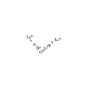 [Al].[Al].[Lu+3].[Lu+3].[O-2].[O-2].[O-2].[Y].[Y]